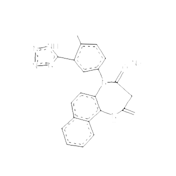 O=C1CC(=O)N(c2ccc(F)c(-c3nnn[nH]3)c2)c2ccc3ccccc3c2N1.[Na]